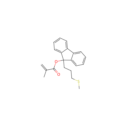 C=C(C)C(=O)OC1(CCCSC)c2ccccc2-c2ccccc21